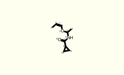 C/C=C\OC(C)NC(=O)C1CC1